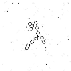 c1ccc(-c2c(-c3ccccc3)c3cc(-c4ccc(N(c5ccc(-c6ccc(-c7ccc8ccccc8c7)cc6)cc5)c5ccc6sc7ccccc7c6c5)cc4)ccc3c3ccccc23)cc1